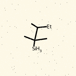 CCC(C)C(C)(C)[SiH3]